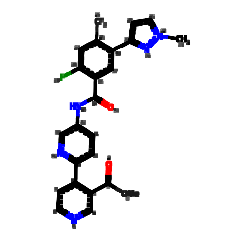 COC(=O)c1cnccc1-c1ccc(NC(=O)c2cc(-c3ccn(C)n3)c(C(F)(F)F)cc2F)cn1